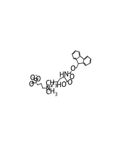 C[N+](C)(CCCCC(NC(=O)OCC1c2ccccc2-c2ccccc21)C(=O)O)CCCS(=O)(=O)[O-]